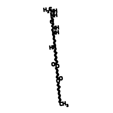 CCCCCCCCCCCOC(=O)CCCCCOC(=O)CCCCCCCNCCCCCCNCNCCOCCNCNC